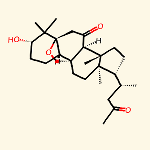 CC(=O)C[C@@H](C)[C@H]1CC[C@@]2(C)[C@@H]3C(=O)C[C@]45OC[C@]3(CC[C@]12C)[C@@H]4CC[C@H](O)C5(C)C